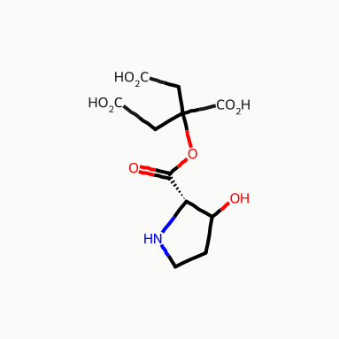 O=C(O)CC(CC(=O)O)(OC(=O)[C@H]1NCCC1O)C(=O)O